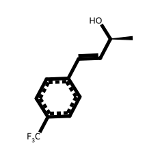 C[C@H](O)C=Cc1ccc(C(F)(F)F)cc1